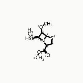 COC(=O)C1CSC2C(OC)C(=[SeH]C)N12